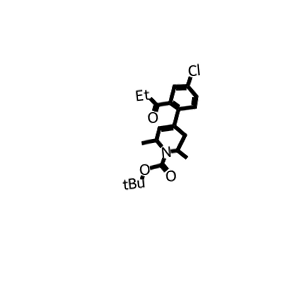 CCC(=O)c1cc(Cl)ccc1C1=CC(C)N(C(=O)OC(C)(C)C)C(C)C1